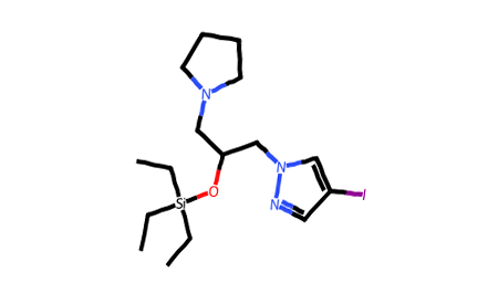 CC[Si](CC)(CC)OC(CN1CCCC1)Cn1cc(I)cn1